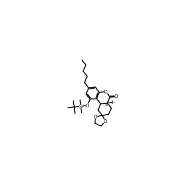 CCCCCc1cc2c(c(O[Si](C)(C)C(C)(C)C)c1)C1CC3(CC[C@H]1C(=O)O2)OCCO3